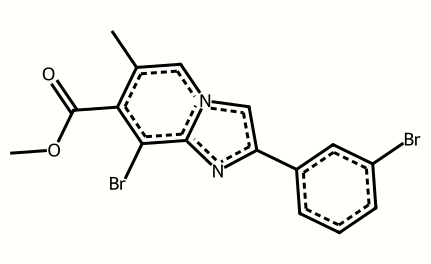 COC(=O)c1c(C)cn2cc(-c3cccc(Br)c3)nc2c1Br